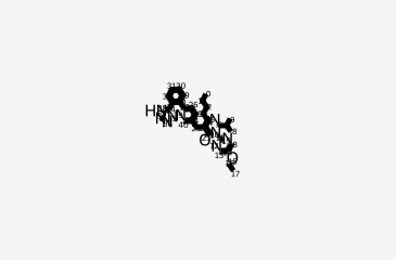 CCCCc1nc(C(C)C)n(-c2ncc(OCC)cn2)c(=O)c1Cc1ccc(-c2ccccc2-c2nnn[nH]2)nc1